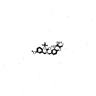 COc1cccc(CN(Cc2ccc3c(c2)NC(N)=C(C)O3)C(=O)OC(C)(C)C)c1